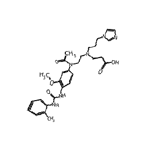 COc1cc(N(CCN(CCCn2ccnc2)CCC(=O)O)C(C)=O)ccc1NC(=O)Nc1ccccc1C